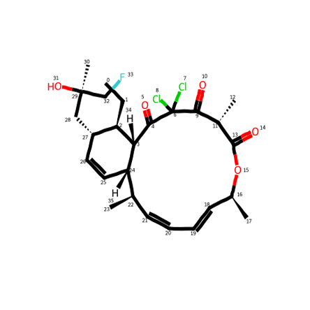 CC[C@H]1[C@@H]2C(=O)C(Cl)(Cl)C(=O)[C@H](C)C(=O)O[C@@H](C)/C=C/C=C\[C@@H](C)[C@@H]2C=C[C@@H]1C[C@@](C)(O)CF